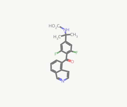 CC(C)(NC(=O)O)c1cc(F)c(C(=O)c2cccc3cnccc23)c(F)c1